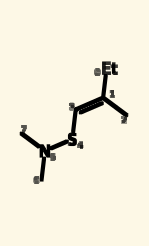 CC/C(C)=C/SN(C)C